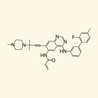 C=CC(=O)Nc1cc2c(Nc3cccc(-c4ccc(C)cc4F)c3)ncnc2cc1C#CC(C)(C)N1CCN(C)CC1